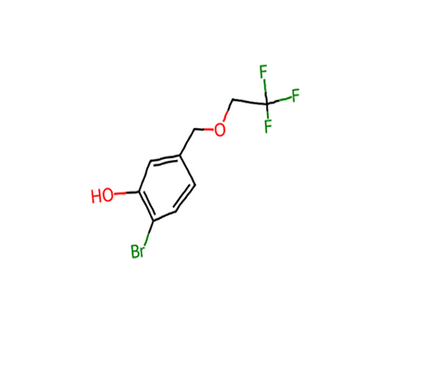 Oc1cc(COCC(F)(F)F)ccc1Br